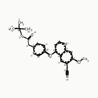 COc1cc2nccc(Oc3ccc(CC(=O)OC(C)(C)C)nc3)c2cc1C#N